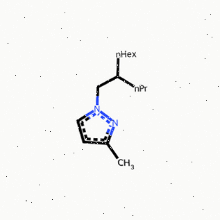 CCCCCCC(CCC)Cn1ccc(C)n1